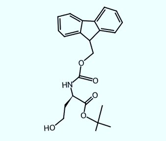 CC(C)(C)OC(=O)[C@@H](CCO)NC(=O)OCC1c2ccccc2-c2ccccc21